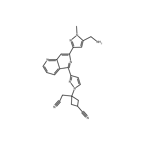 Cn1nc(-c2cc3ncccc3c(-c3ccn(C4(CC#N)CC(C#N)C4)n3)n2)cc1CN